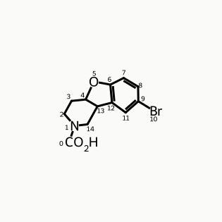 O=C(O)N1CCC2Oc3ccc(Br)cc3C2C1